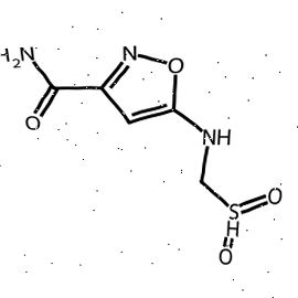 NC(=O)c1cc(NC[SH](=O)=O)on1